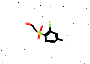 Cc1ccc(S(=O)(=O)CCO)c(F)c1